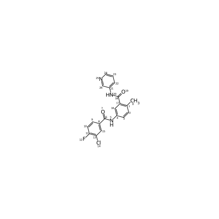 Cc1ccc(NC(=O)c2ccc(F)c(Cl)c2)cc1C(=O)Nc1cccnc1